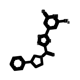 O=C(c1noc(-c2cc(C(F)(F)F)[nH]c(=O)c2)n1)N1CCC(c2ccccc2)C1